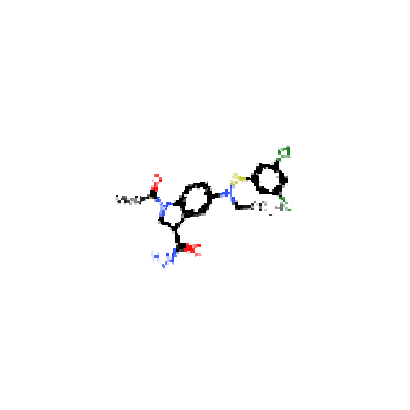 CNC(=O)N1CC(C(N)=O)c2cc(N(CC(=O)O)Sc3cc(Cl)cc(Cl)c3)ccc21